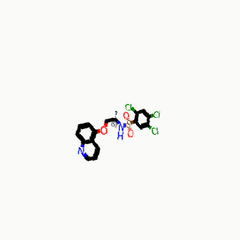 C[C@@H](COc1cccc2ncccc12)NS(=O)(=O)c1cc(Cl)c(Cl)cc1Cl